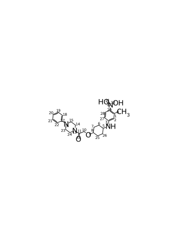 Cc1cc(NC2CCC(OCC(=O)N3CCN(c4ccccc4)CC3)CC2)ccc1N(O)O